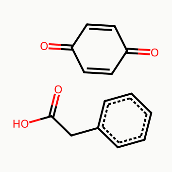 O=C(O)Cc1ccccc1.O=C1C=CC(=O)C=C1